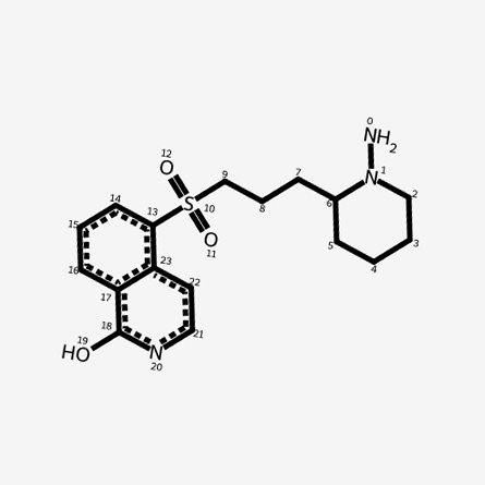 NN1CCCCC1CCCS(=O)(=O)c1cccc2c(O)nccc12